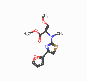 COC=C(C(=O)OC)N(C)c1nc(-c2ccco2)cs1